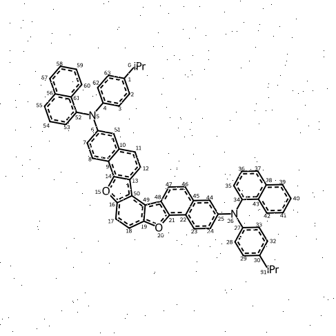 CC(C)c1ccc(N(c2ccc3c(ccc4c3oc3ccc5oc6c7ccc(N(c8ccc(C(C)C)cc8)c8cccc9ccccc89)cc7ccc6c5c34)c2)c2cccc3ccccc23)cc1